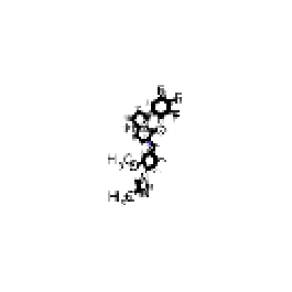 COc1cc(/C=C2\CC[C@@H]3CC[C@H](c4cc(F)c(F)c(F)c4)N3C2=O)ccc1-n1cnc(C)c1